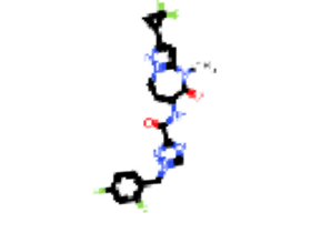 CN1C(=O)C(NC(=O)c2ncn(Cc3ccc(F)cc3F)n2)CCn2nc(C3CC3(F)F)cc21